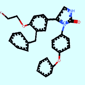 O=c1[nH]cc(-c2ccc(OCCBr)c(Cc3ccccc3)c2)n1-c1ccc(Oc2ccccc2)cc1